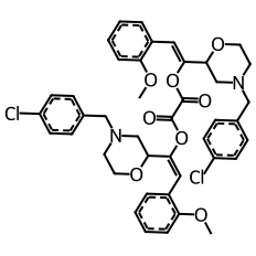 COc1ccccc1C=C(OC(=O)C(=O)OC(=Cc1ccccc1OC)C1CN(Cc2ccc(Cl)cc2)CCO1)C1CN(Cc2ccc(Cl)cc2)CCO1